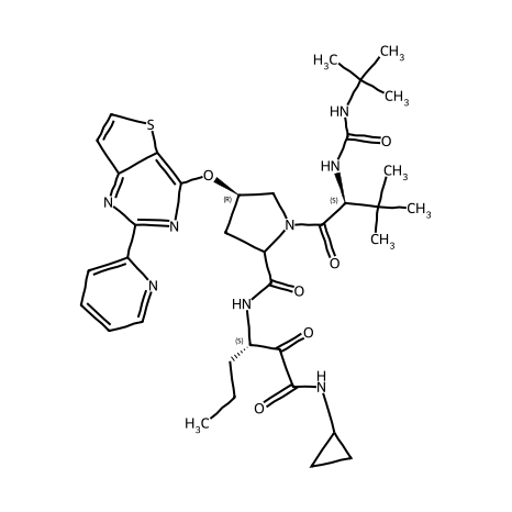 CCC[C@H](NC(=O)C1C[C@@H](Oc2nc(-c3ccccn3)nc3ccsc23)CN1C(=O)[C@@H](NC(=O)NC(C)(C)C)C(C)(C)C)C(=O)C(=O)NC1CC1